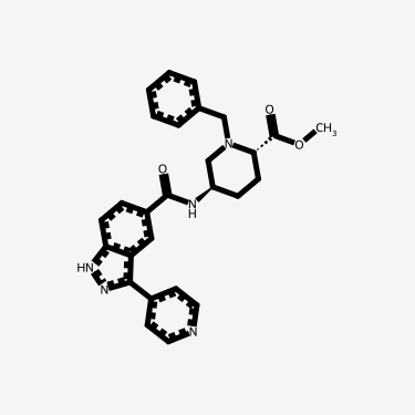 COC(=O)[C@@H]1CC[C@@H](NC(=O)c2ccc3[nH]nc(-c4ccncc4)c3c2)CN1Cc1ccccc1